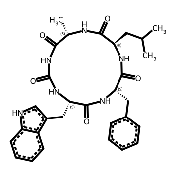 CC(C)C[C@H]1NC(=O)[C@H](Cc2ccccc2)NC(=O)[C@H](Cc2c[nH]c3ccccc23)NC(=O)NC(=O)[C@H](C)NC1=O